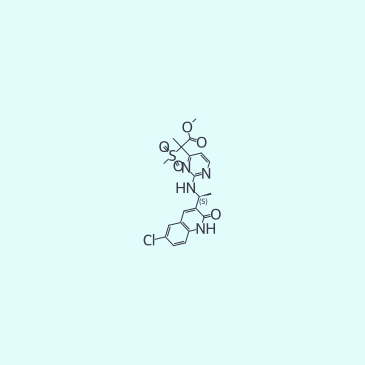 COC(=O)C(C)(c1ccnc(N[C@@H](C)c2cc3cc(Cl)ccc3[nH]c2=O)n1)S(C)(=O)=O